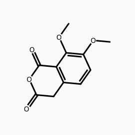 COc1ccc2c(c1OC)C(=O)OC(=O)C2